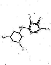 CC1C[C@@H](Nc2cnn(C)c(=O)c2Cl)CN(C)C1